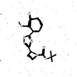 COc1c(F)cccc1-c1nc(C2CCN2C(=O)OC(C)(C)C)no1